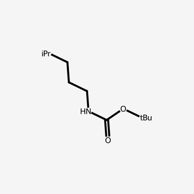 CC(C)CCCNC(=O)OC(C)(C)C